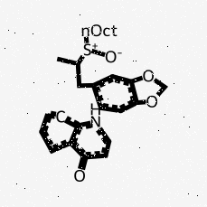 CCCCCCCC[S+]([O-])C(C)Cc1ccc2c(c1)OCO2.O=c1cc[nH]c2ccccc12